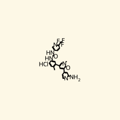 Cc1ccc(NC(=O)Nc2ccc(C(F)(F)F)nc2)cc1-c1cc(-c2ccnc(N)c2)c(=O)n(C)c1.Cl